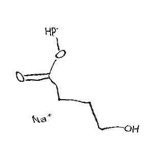 O=C(CCCO)O[PH-].[Na+]